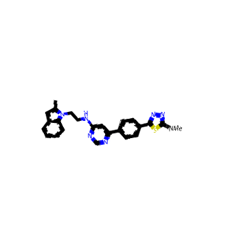 CNc1nnc(-c2ccc(-c3cc(NCCn4c(C)cc5ccccc54)ncn3)cc2)s1